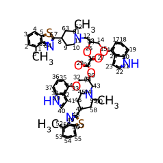 Cc1cccc2sc(C3CCN(C[C@@H](COc4cccc5[nH]ccc45)OC(=O)C(=O)O[C@H](COc4cccc5[nH]ccc45)CN4CCC(c5nc6c(C)cccc6s5)CC4C)C(C)C3)nc12